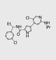 CCC(NC(=O)c1cc(-c2cc(NC(C)C)ncc2Cl)c[nH]1)c1cccc(Cl)c1